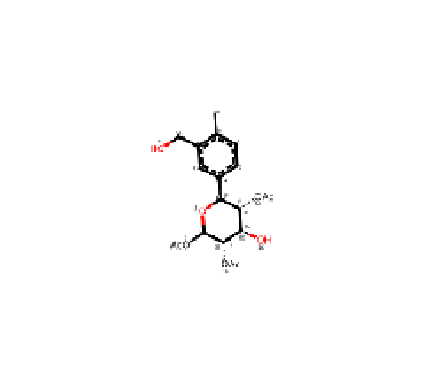 CC(=O)OC1O[C@@H](c2ccc(C)c(CO)c2)[C@H](OC(C)=O)[C@@H](O)[C@@H]1OC(C)=O